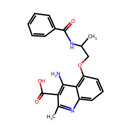 Cc1nc2cccc(OCC(C)NC(=O)c3ccccc3)c2c(N)c1C(=O)O